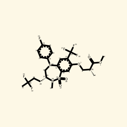 COC(=O)[C@H](C)COc1cc2c(cc1C(F)(F)F)N(c1ccc(F)cc1)C[C@@H](CCC(C)(F)F)N(C)S2(=O)=O